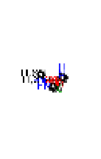 Cc1cccc(NC(=O)Nc2ccc(Cl)c(S(=O)(=O)C3CCCNC3)c2O)c1C